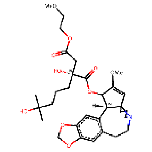 COCCOC(=O)C[C@](O)(CCCC(C)(C)O)C(=O)OC1C(OC)=CC23CCCN2CCc2cc4c(cc2[C@H]13)OCO4